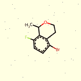 [CH2]C1OCCc2c(Br)ccc(F)c21